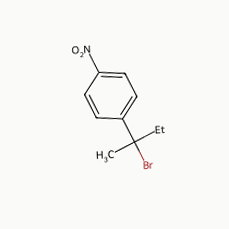 CCC(C)(Br)c1ccc([N+](=O)[O-])cc1